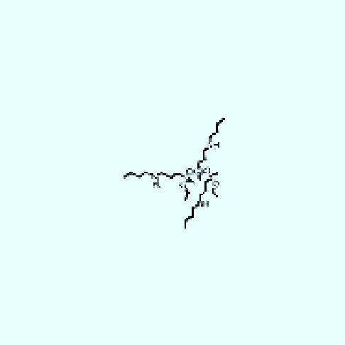 CCCCNCCC[Si](C)(OCC)O[Si](C)(CCCNCCCC)O[Si](C)(CCCNCCCC)OCC